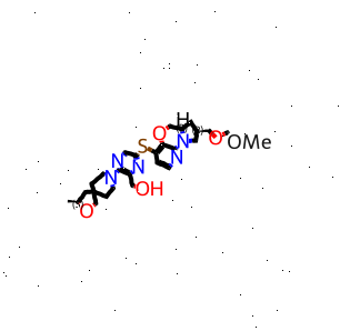 COCOC[C@@H]1C[C@@H]2COc3c(Sc4cnc(N5CCC6(CC5)CO[C@@H](C)C6)c(CO)n4)ccnc3N2C1